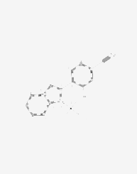 N#Cc1ccc(-c2cc3ccccc3n2C(F)(F)F)cc1